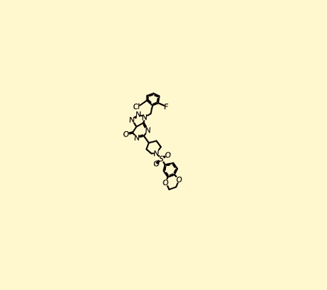 O=C1N=C(C2CCN(S(=O)(=O)c3ccc4c(c3)OCCO4)CC2)N=C2C1N=NN2Cc1c(F)cccc1Cl